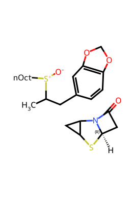 CCCCCCCC[S+]([O-])C(C)Cc1ccc2c(c1)OCO2.O=C1C[C@H]2SC3CC3N12